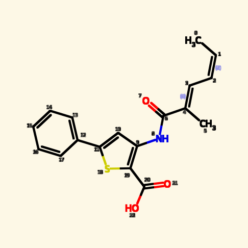 C/C=C\C=C(/C)C(=O)Nc1cc(-c2ccccc2)sc1C(=O)O